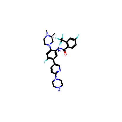 C[C@H]1CN(c2cc(F)c(-c3ccc(N4CCNCC4)nc3)cc2NC(=O)c2ccc(F)cc2C(F)(F)F)CCN1C